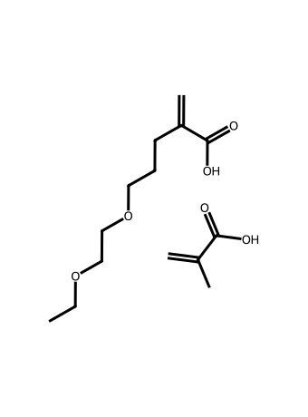 C=C(C)C(=O)O.C=C(CCCOCCOCC)C(=O)O